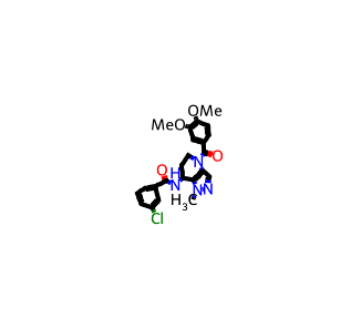 COc1ccc(C(=O)N2CCC(NC(=O)c3cccc(Cl)c3)c3c2cnn3C)cc1OC